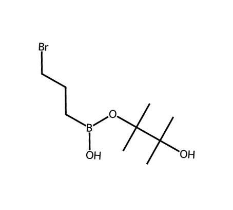 CC(C)(O)C(C)(C)OB(O)CCCBr